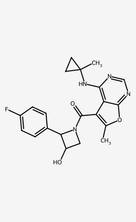 Cc1oc2ncnc(NC3(C)CC3)c2c1C(=O)N1CC(O)C1c1ccc(F)cc1